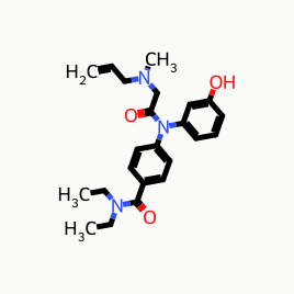 C=CCN(C)CC(=O)N(c1ccc(C(=O)N(CC)CC)cc1)c1cccc(O)c1